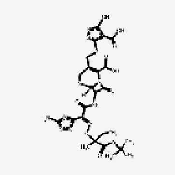 CCC(C)(ON=C(C(=O)NC1C(=O)N2C(C(=O)O)=C(CSc3snc(O)c3C(=O)O)CS[C@@H]12)c1nsc(N)n1)C(=O)OC(C)(C)C